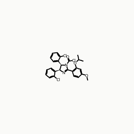 COc1ccc(C2=N[C@@H](c3ccccc3Cl)[C@@H](c3ccccc3Cl)N2C(=O)Cl)c(OC(C)C)c1